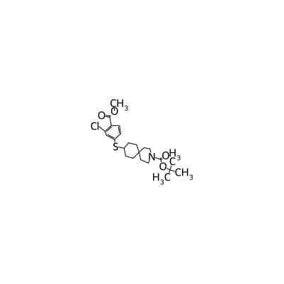 COC(=O)c1ccc(SC2CCC3(CC2)CCN(C(=O)OC(C)(C)C)CC3)cc1Cl